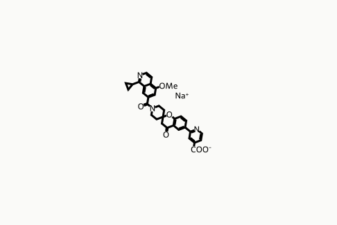 COc1cc(C(=O)N2CCC3(CC2)CC(=O)c2cc(-c4cc(C(=O)[O-])ccn4)ccc2O3)cc2c(C3CC3)nccc12.[Na+]